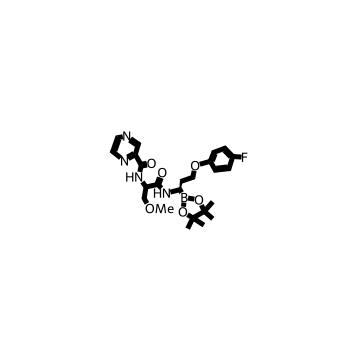 COCC(NC(=O)c1cnccn1)C(=O)N[C@@H](CCOc1ccc(F)cc1)B1OC(C)(C)C(C)(C)O1